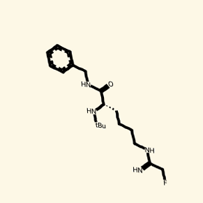 CC(C)(C)N[C@@H](CCCCNC(=N)CF)C(=O)NCc1ccccc1